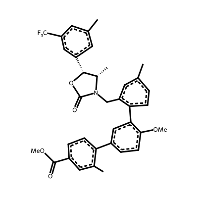 COC(=O)c1ccc(-c2ccc(OC)c(-c3ccc(C)cc3CN3C(=O)O[C@H](c4cc(C)cc(C(F)(F)F)c4)[C@@H]3C)c2)c(C)c1